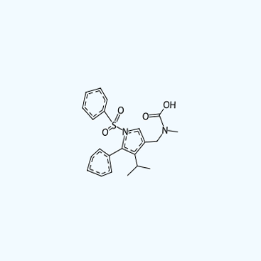 CC(C)c1c(CN(C)C(=O)O)cn(S(=O)(=O)c2ccccc2)c1-c1ccccc1